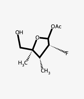 CC(=O)OC1O[C@](C)(CO)[C@@H](C)[C@H]1F